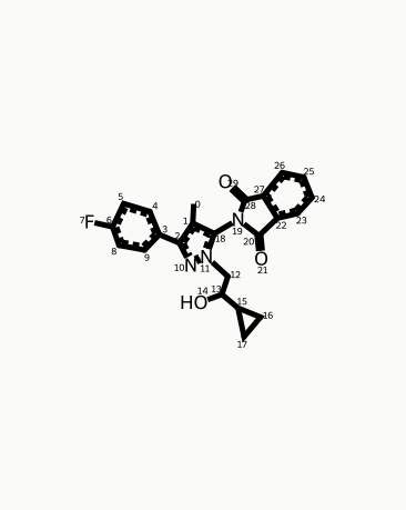 Cc1c(-c2ccc(F)cc2)nn(CC(O)C2CC2)c1N1C(=O)c2ccccc2C1=O